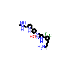 CC(=N)NCC[C@@H]1C=CC[C@@H](c2ccc(N3C=c4cc(-c5cc(CCC[C@H](C)N)cc(Cl)c5F)[nH]c4=NC3O)cc2)N1